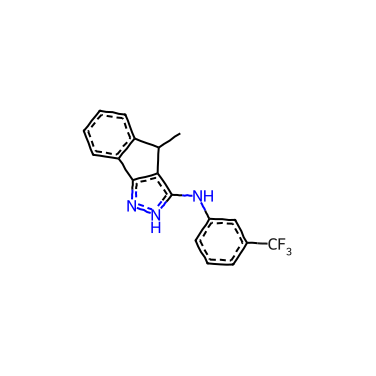 CC1c2ccccc2-c2n[nH]c(Nc3cccc(C(F)(F)F)c3)c21